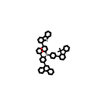 CC1(C)c2ccccc2-c2cccc(-c3ccc(N(c4ccc(-c5cccc6c5sc5ccccc56)cc4)c4cc(-c5cc6ccccc6c6ccccc56)ccc4-c4ccccc4)cc3)c21